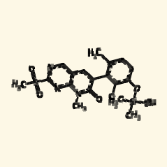 Cc1ccc(O[Si](C)(C)C(C)(C)C)c(C)c1-c1cc2cnc(S(C)(=O)=O)nc2n(C)c1=O